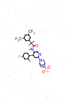 Cc1cc(F)ccc1-c1cc(N2CC3CC2CN3S(C)(=O)=O)ncc1N(C)C(=O)C(C)(C)c1cc(C(F)(F)F)cc(C(F)(F)F)c1